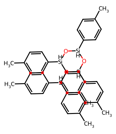 Cc1ccc([SiH](O[SiH](O[SiH](c2ccc(C)cc2)c2ccc(C)cc2)c2ccc(C)cc2)O[SiH](c2ccc(C)cc2)c2ccc(C)cc2)cc1